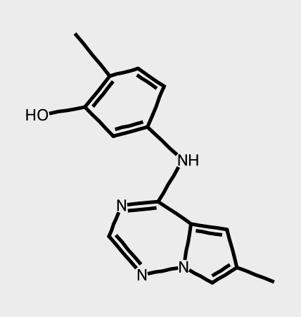 Cc1cc2c(Nc3ccc(C)c(O)c3)ncnn2c1